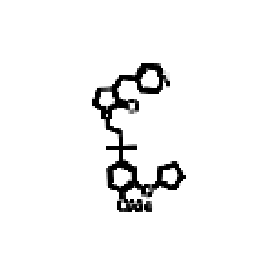 COc1ccc(C(C)(C)CCN2CCC(Cc3ccncc3)C2=O)cc1OC1CCCC1